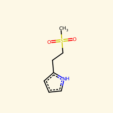 CS(=O)(=O)CCc1ccc[nH]1